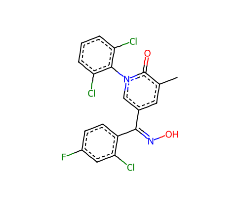 Cc1cc(/C(=N\O)c2ccc(F)cc2Cl)cn(-c2c(Cl)cccc2Cl)c1=O